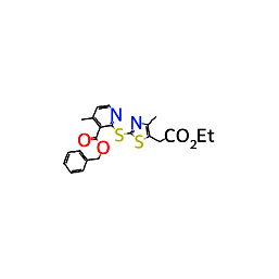 CCOC(=O)Cc1sc(Sc2nccc(C)c2C(=O)OCc2ccccc2)nc1C